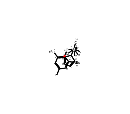 Cc1cc(C(C)(C)C)c([O][Ti]([CH3])([CH3])([CH3])([CH3])([CH3])([Cl])([Cl])[CH]2C=CC=C2)c(C(C)(C)C)c1